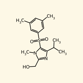 Cc1cc(C)cc(S(=O)(=O)c2c(C(C)C)nc(CO)n2C)c1